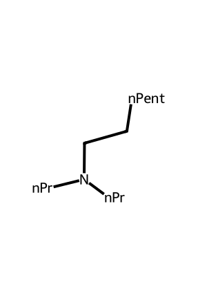 CCCCCCCN(CCC)CCC